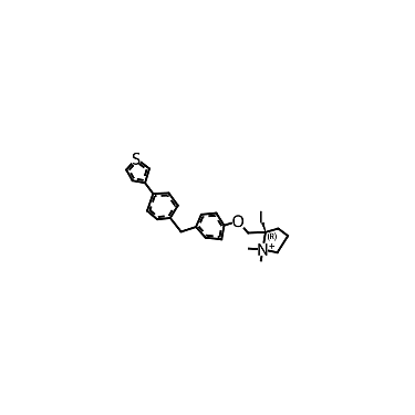 C[N+]1(C)CCC[C@@]1(I)COc1ccc(Cc2ccc(-c3ccsc3)cc2)cc1